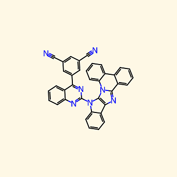 N#Cc1cc(C#N)cc(-c2nc(-n3c4ccccc4c4nc5c6ccccc6c6ccccc6n5c43)nc3ccccc23)c1